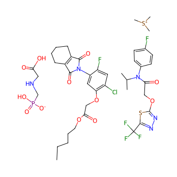 CC(C)N(C(=O)COc1nnc(C(F)(F)F)s1)c1ccc(F)cc1.CCCCCOC(=O)COc1cc(N2C(=O)C3=C(CCCC3)C2=O)c(F)cc1Cl.C[S+](C)C.O=C(O)CNCP(=O)([O-])O